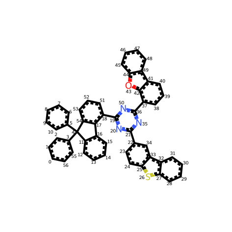 c1ccc(C2(c3ccccc3)c3ccccc3-c3c(-c4nc(-c5ccc6sc7ccccc7c6c5)nc(-c5cccc6c5oc5ccccc56)n4)cccc32)cc1